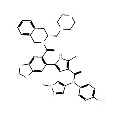 Cc1[nH]c(-c2cc3c(cc2C(=O)N2Cc4ccccc4C[C@H]2CN2CCOCC2)OCO3)cc1C(=O)N(c1ccc(O)cc1)c1cnn(C)c1